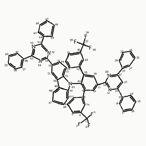 FC(F)(F)c1cccc(-c2cc(-c3nc(-c4ccccc4)cc(-c4ccccc4)n3)cc(-c3cccc(C(F)(F)F)c3)c2-n2c3ccccc3c3cc(-c4nc(-c5ccccc5)nc(-c5ccccc5)n4)ccc32)c1